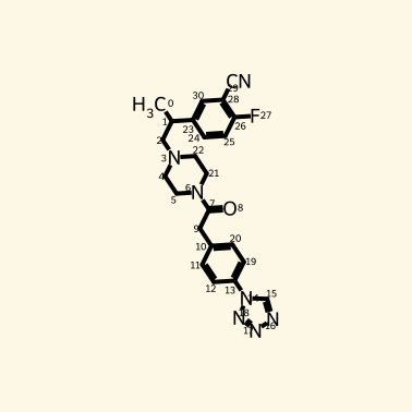 CC(CN1CCN(C(=O)Cc2ccc(-n3cnnn3)cc2)CC1)c1ccc(F)c(C#N)c1